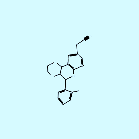 N#CCc1ccc2c(c1)C1OCCOC1C(c1ccccc1Cl)N2